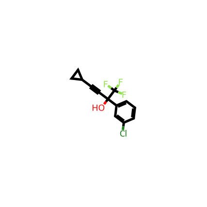 OC(C#CC1CC1)(c1cccc(Cl)c1)C(F)(F)F